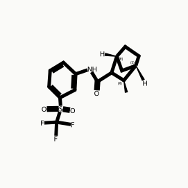 C[C@H]1C(C(=O)Nc2cccc(S(=O)(=O)C(F)(F)F)c2)[C@@H]2CC[C@H]1C2